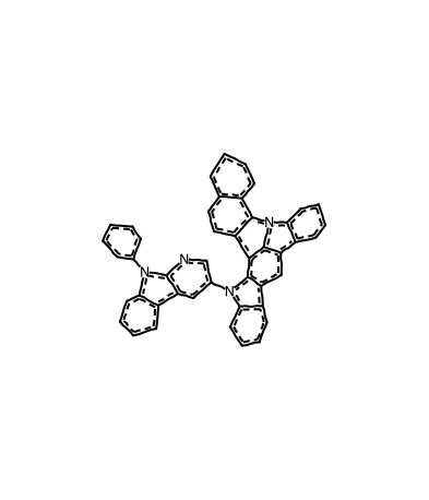 c1ccc(-n2c3ccccc3c3cc(-n4c5ccccc5c5cc6c7ccccc7n7c8c9ccccc9ccc8c(c54)c67)cnc32)cc1